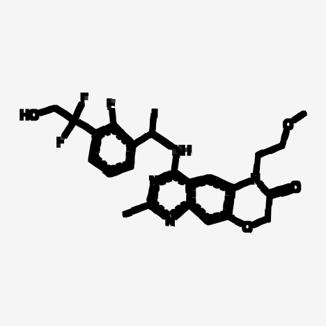 COCCN1C(=O)COc2cc3nc(C)nc(NC(C)c4cccc(C(F)(F)CO)c4F)c3cc21